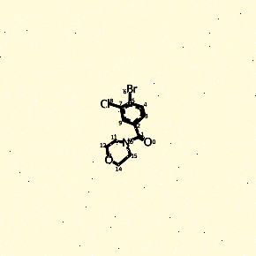 O=C(c1ccc(Br)c(Cl)c1)N1CCOCC1